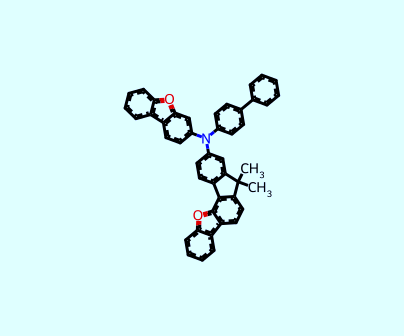 CC1(C)c2cc(N(c3ccc(-c4ccccc4)cc3)c3ccc4c(c3)oc3ccccc34)ccc2-c2c1ccc1c2oc2ccccc21